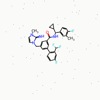 Cc1cc(C(NC(=O)c2cc(Cn3ccn(C)c3=N)cc(-c3ccc(F)cc3C(F)F)c2)C2CC2)ccc1F